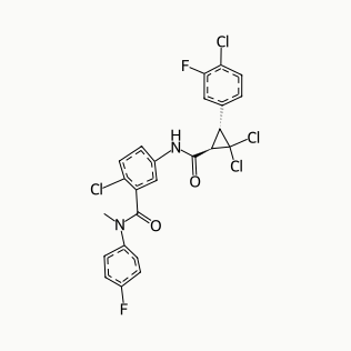 CN(C(=O)c1cc(NC(=O)[C@H]2[C@H](c3ccc(Cl)c(F)c3)C2(Cl)Cl)ccc1Cl)c1ccc(F)cc1